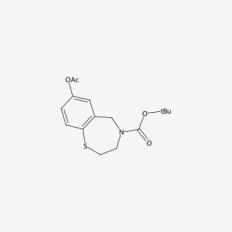 CC(=O)Oc1ccc2c(c1)CN(C(=O)OC(C)(C)C)CCS2